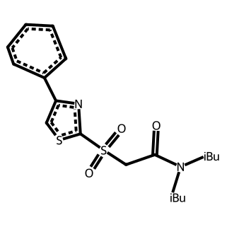 CCC(C)N(C(=O)CS(=O)(=O)c1nc(-c2ccccc2)cs1)C(C)CC